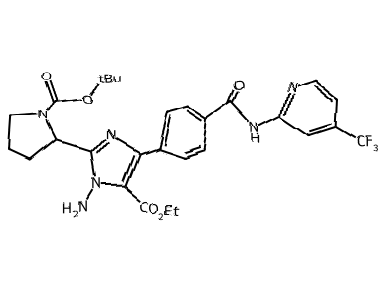 CCOC(=O)c1c(-c2ccc(C(=O)Nc3cc(C(F)(F)F)ccn3)cc2)nc(C2CCCN2C(=O)OC(C)(C)C)n1N